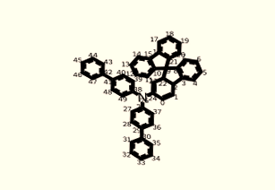 C1=CC2c3ccccc3C3(c4ccccc4-c4ccccc43)C2C=C1N(c1ccc(-c2ccccc2)cc1)c1ccc(-c2ccccc2)cc1